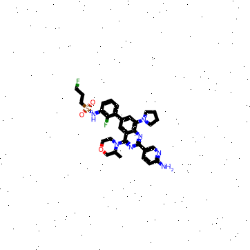 CC1COCCN1c1nc(-c2ccc(N)nc2)nc2c(N3CCCC3)cc(-c3cccc(NS(=O)(=O)CCCF)c3F)cc12